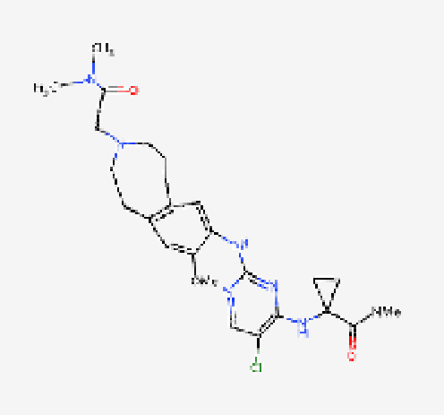 CNC(=O)C1(Nc2nc(Nc3cc4c(cc3OC)CCN(CC(=O)N(C)C)CC4)ncc2Cl)CC1